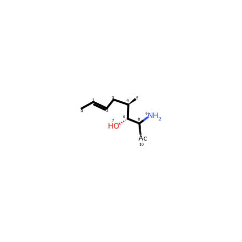 C/C=C/C[C@@H](C)[C@@H](O)C(N)C(C)=O